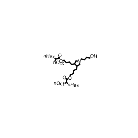 CCCCCCCCC(CCCCCC)C(=O)OCCCCC1CN(CCCCO)CC1CCCCOC(=O)C(CCCCCC)CCCCCCCC